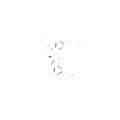 COc1cc2c(cc(C(=O)NC3(c4ccc(C(=O)O)cc4C)COC3)n2C)c(Cl)c1C